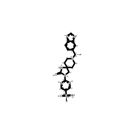 C[C@@H](c1ccc2scnc2c1)N1CCC2(CC1)CN(c1ncc([S@](C)(=N)=O)cn1)C(=O)N2